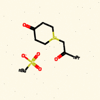 CCCC(=O)C[S+]1CCC(=O)CC1.CCCCS(=O)(=O)[O-]